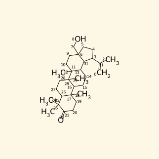 C=C(C)C1CCC2(CO)CCC3(C)C(CCC4C5(C)CCC(=O)C(C)(C)C5CCC43C)C12